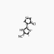 N#Cc1cnc(-c2[c]scc2Cl)[nH]1